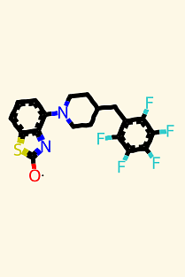 [O]c1nc2c(N3CCC(Cc4c(F)c(F)c(F)c(F)c4F)CC3)cccc2s1